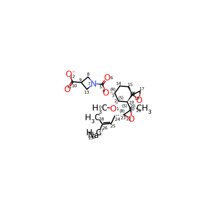 CO[C@@H]1[C@H](OC(=O)N2CC(C(=O)[O-])C2)CC[C@]2(CO2)[C@H]1[C@@]1(C)O[C@@H]1CC=C(C)C.[Na+]